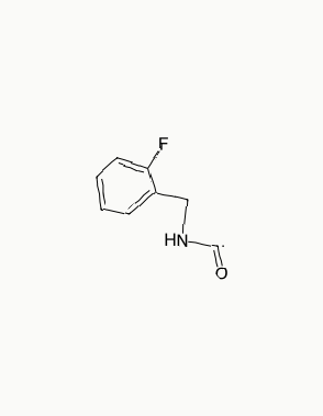 O=[C]NCc1ccccc1F